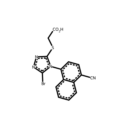 N#Cc1ccc(-n2c(Br)nnc2SCC(=O)O)c2ccccc12